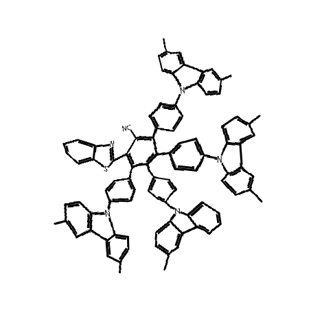 Cc1ccc2c(c1)c1ccccc1n2-c1ccc(-c2c(-c3ccc(-n4c5ccc(C)cc5c5cc(C)ccc54)cc3)c(-c3ccc(-n4c5ccc(C)cc5c5cc(C)ccc54)cc3)c(C#N)c(-c3nc4ccccc4s3)c2-c2ccc(-n3c4ccc(C)cc4c4cc(C)ccc43)cc2)cc1